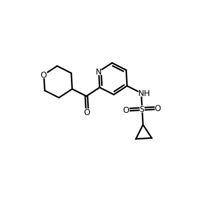 O=C(c1cc(NS(=O)(=O)C2CC2)ccn1)C1CCOCC1